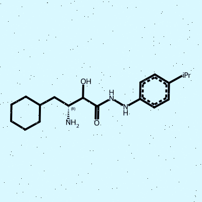 CC(C)c1ccc(NNC(=O)C(O)[C@H](N)CC2CCCCC2)cc1